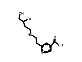 O=C(O)c1ccnc(CCNCCC(O)CO)c1